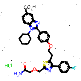 Cl.NC(=O)COCc1nc(-c2ccc(F)cc2)c(CCOc2ccc(-c3nc4cc(C(=O)O)ccc4n3C3CCCCC3)cc2)s1